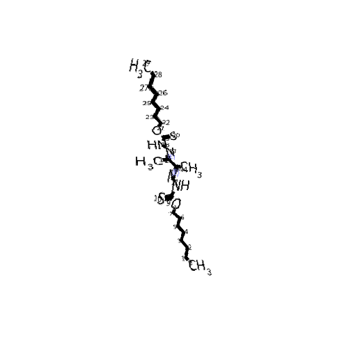 CCCCCCCCOC(=S)N/N=C(C)/C(C)=N/NC(=S)OCCCCCCCC